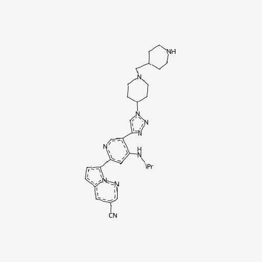 CC(C)Nc1cc(-c2ccc3cc(C#N)cnn23)ncc1-c1cn(C2CCN(CC3CCNCC3)CC2)nn1